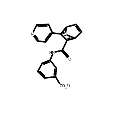 CCOC(=O)c1cccc(NC(=O)c2c(-c3ccncc3)c3ccc2o3)c1